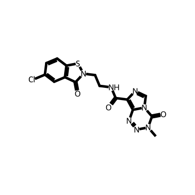 Cn1nnc2c(C(=O)NCCn3sc4ccc(Cl)cc4c3=O)ncn2c1=O